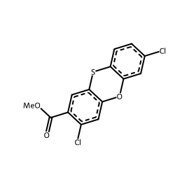 COC(=O)c1cc2c(cc1Cl)Oc1cc(Cl)ccc1S2